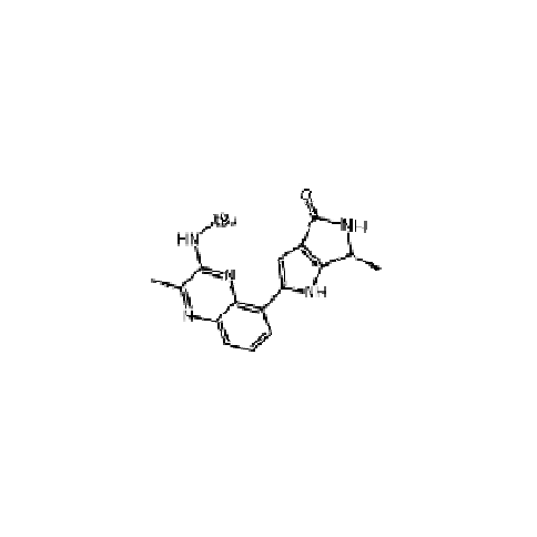 Cc1nc2cccc(-c3cc4c([nH]3)[C@H](C)NC4=O)c2nc1NC(C)(C)C